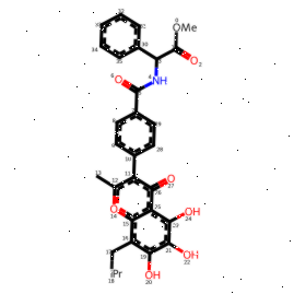 COC(=O)C(NC(=O)c1ccc(-c2c(C)oc3c(CC(C)C)c(O)c(O)c(O)c3c2=O)cc1)c1ccccc1